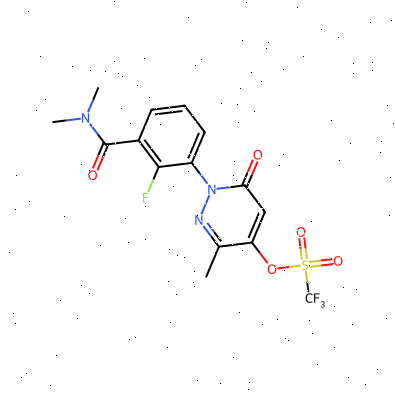 Cc1nn(-c2cccc(C(=O)N(C)C)c2F)c(=O)cc1OS(=O)(=O)C(F)(F)F